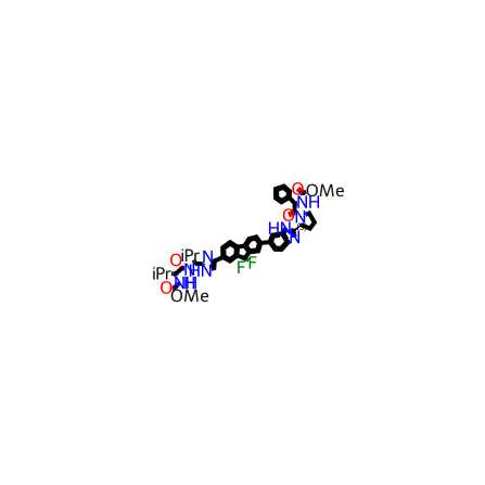 COC(=O)NC(C(=O)N1CCC[C@H]1c1nc2ccc(-c3ccc4c(c3)C(F)(F)c3cc(-c5c[nH]c(C(NC(=O)C(NC(=O)OC)C(C)C)C(C)C)n5)ccc3-4)cc2[nH]1)c1ccccc1